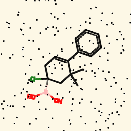 CC1(C)CC(Cl)(B(O)O)CC=C1c1ccccc1